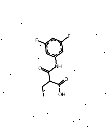 CCC(C(=O)O)C(=O)Nc1cc(F)cc(F)c1